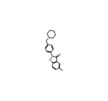 Cc1ccc2on(-c3ccc(CN4CCCCC4)cc3)c(=O)c2c1